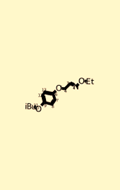 CCON=CCOc1ccc(OC(C)CC)cc1